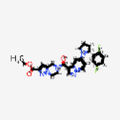 CCOC(=O)c1cc2n(n1)CCN(C(=O)c1cnn3ccc(N4CCC[C@@H]4c4cc(F)ccc4F)cc13)C2